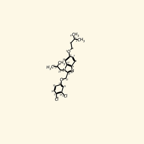 CC(C)CCOc1ccc2nc(COc3ccc(Cl)c(Cl)c3)n(CC(C)C)c2c1